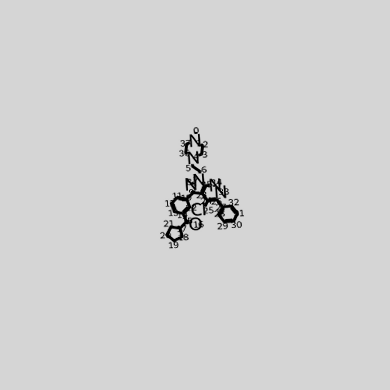 CN1CCN(CCn2nc(-c3cccc(C(=O)C4CCCC4)c3)c3c(Cl)c(-c4ccccc4)nnc32)CC1